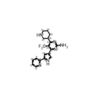 Nc1nc(-c2c[nH]c(-c3ccccn3)c2)c(C(F)(F)F)c(C2CCCNC2)n1